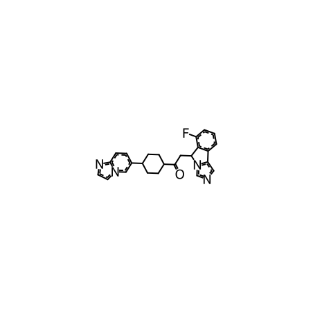 O=C(CC1c2c(F)cccc2-c2cncn21)C1CCC(c2ccc3nccn3c2)CC1